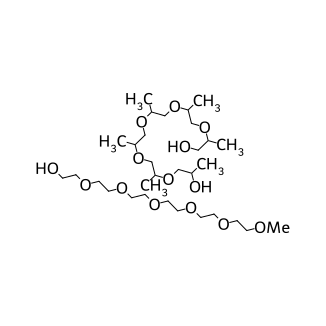 CC(O)COC(C)COC(C)COC(C)COC(C)COC(C)CO.COCCOCCOCCOCCOCCOCCO